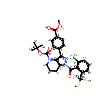 COC(=O)c1ccc(-c2nn(C(=O)c3c(Cl)cccc3C(F)(F)F)c3c2N(C(=O)OC(C)(C)C)CCC3)cc1